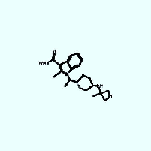 COC(=O)c1c(C)n([C@H](C)[C@H]2CC[C@H](NC3(C)COC3)CC2)c2ccccc12